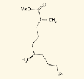 COC(=O)[C@H](C)CCC[C@H](C)CCCC(C)C